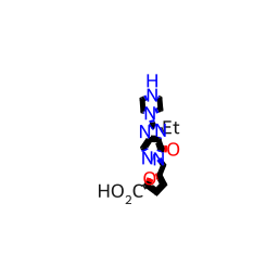 CCn1c(N2CCNCC2)nc2cnn(Cc3ccc(C(=O)O)o3)c(=O)c21